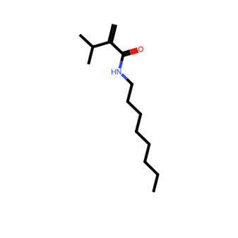 C=C(C(=O)NCCCCCCCC)C(C)C